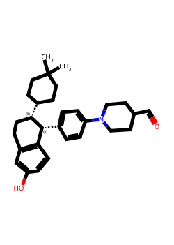 CC1(C)CCC([C@H]2CCc3cc(O)ccc3[C@H]2c2ccc(N3CCC(C=O)CC3)cc2)CC1